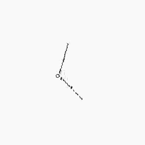 CCCCOCCOCCOC(=O)NCCCCCCNC(=O)N[C@@H]1CCCC[C@H]1NC(=O)NCCCCCCNC(=O)OCCOCCOCCCC